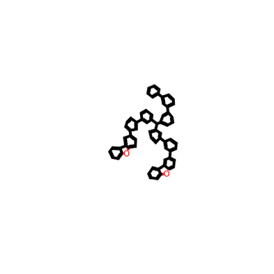 c1ccc(-c2cccc(-c3cccc(C(c4cccc(-c5cccc(-c6ccc7oc8ccccc8c7c6)c5)c4)c4cccc(-c5cccc(-c6ccc7oc8ccccc8c7c6)c5)c4)c3)c2)cc1